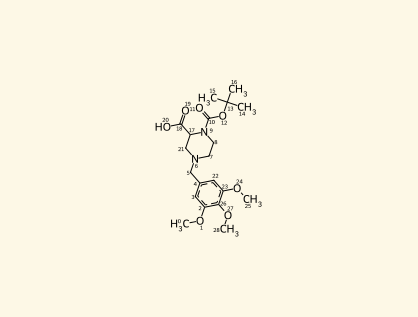 COc1cc(CN2CCN(C(=O)OC(C)(C)C)C(C(=O)O)C2)cc(OC)c1OC